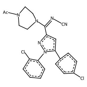 CC(=O)N1CCN(C(=NC#N)c2cc(-c3ccc(Cl)cc3)n(-c3ccccc3Cl)n2)CC1